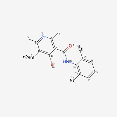 CCCCCc1c(C)nc(C)c(C(=O)Nc2c(CC)cccc2CC)c1Br